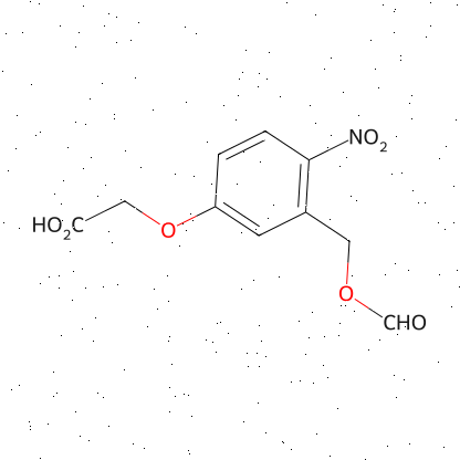 O=COCc1cc(OCC(=O)O)ccc1[N+](=O)[O-]